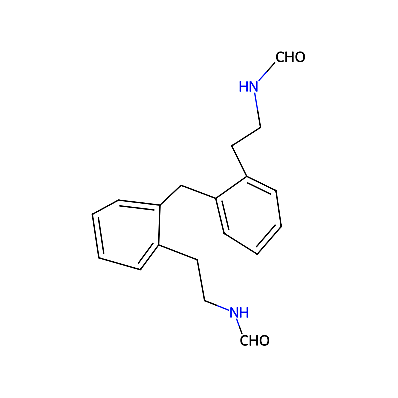 O=CNCCc1ccccc1Cc1ccccc1CCNC=O